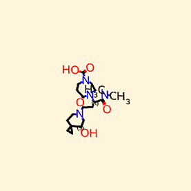 CN(C)C(=O)[C@@H](CCN1CCC2(CC2)[C@H](O)C1)N1CCN(C(=O)O)CCC1=O